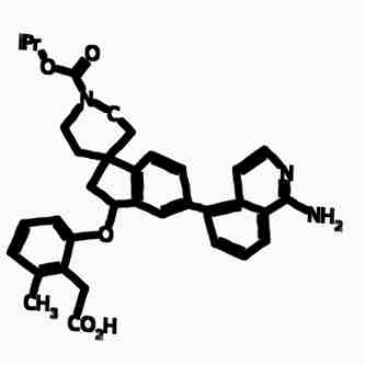 Cc1cccc(OC2CC3(CCN(C(=O)OC(C)C)CC3)c3ccc(-c4cccc5c(N)nccc45)cc32)c1CC(=O)O